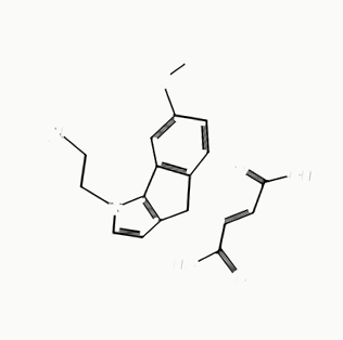 COc1ccc2c(c1)-c1c(ccn1CCN)C2.O=C(O)/C=C/C(=O)O